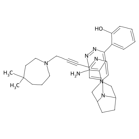 CC1(C)CCCN(CC#Cc2cc(N3C4CCC3CN(c3cc(-c5ccccc5O)nnc3N)C4)ccn2)CC1